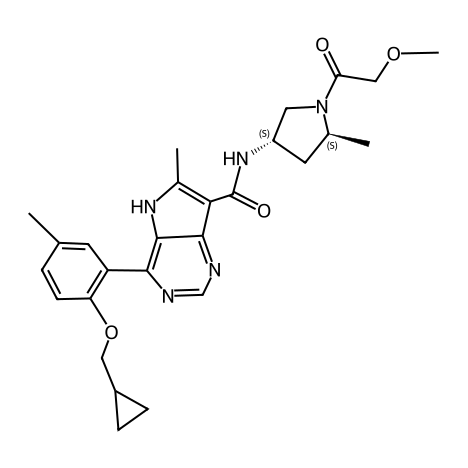 COCC(=O)N1C[C@@H](NC(=O)c2c(C)[nH]c3c(-c4cc(C)ccc4OCC4CC4)ncnc23)C[C@@H]1C